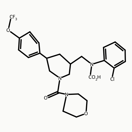 O=C(N1CCOCC1)N1CC(CN(C(=O)O)c2ccccc2Cl)CC(c2ccc(OC(F)(F)F)cc2)C1